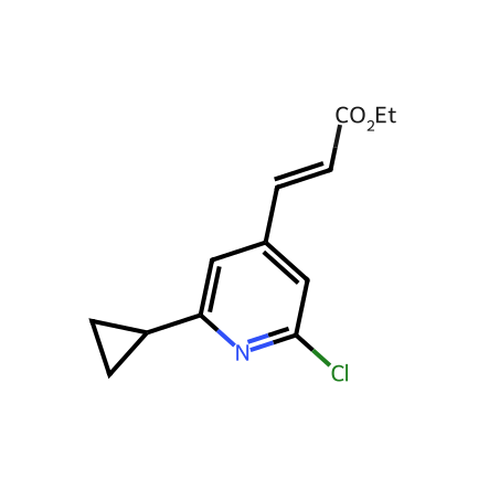 CCOC(=O)/C=C/c1cc(Cl)nc(C2CC2)c1